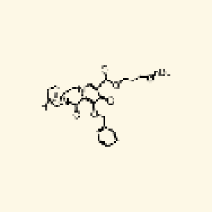 CCCCOCCCOC(=O)c1cn2c(c(OCc3ccccc3)c1=O)C(=O)N1C[C@@H]3CC[C@]1(C3)C2